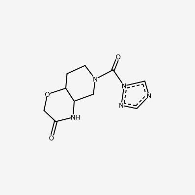 O=C1COC2CCN(C(=O)n3cncn3)CC2N1